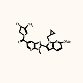 CC[C@@H]1CN(C(=O)c2cnc3c(c2)nc(-c2cc4ccc(OC)nc4n2CC2CC2)n3C)C=C1N